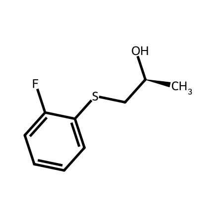 C[C@H](O)CSc1ccccc1F